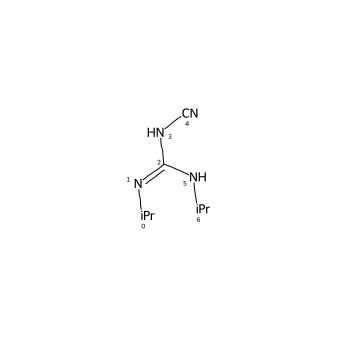 CC(C)/N=C(/NC#N)NC(C)C